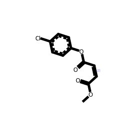 COC(=O)/C=C\C(=O)Oc1ccc(Cl)cc1